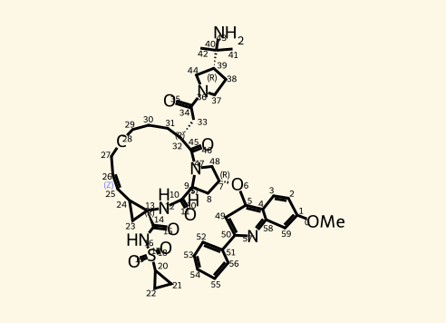 COc1ccc2c(O[C@@H]3C[C@H]4C(=O)N[C@]5(C(=O)NS(=O)(=O)C6CC6)CC5/C=C\CCCCC[C@H](CC(=O)N5CC[C@@H](C(C)(C)N)C5)C(=O)N4C3)cc(-c3ccccc3)nc2c1